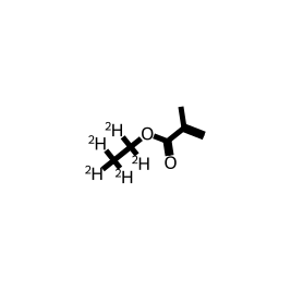 [2H]C([2H])([2H])C([2H])([2H])OC(=O)C(=C)C